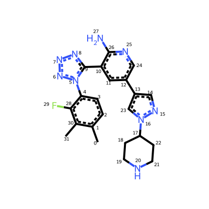 Cc1ccc(-n2nnnc2-c2cc(-c3cnn(C4CCNCC4)c3)cnc2N)c(F)c1C